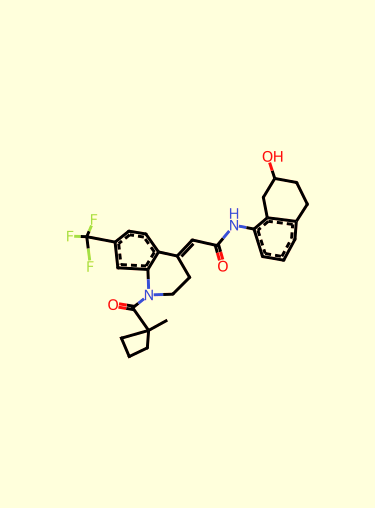 CC1(C(=O)N2CC/C(=C\C(=O)Nc3cccc4c3CC(O)CC4)c3ccc(C(F)(F)F)cc32)CCC1